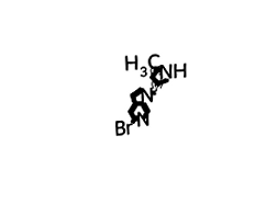 C[C@@H]1C[C@@H](Cn2ccc3cc(Br)ncc32)CN1